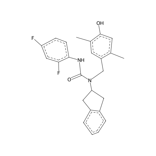 Cc1cc(CN(C(=O)Nc2ccc(F)cc2F)C2Cc3ccccc3C2)c(C)cc1O